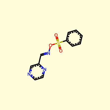 O=S(=O)(ON=Cc1cnccn1)c1ccccc1